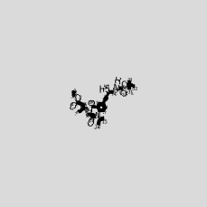 CCOC(=O)CC(C)N1CC(=O)N(C(C)C)c2ccc(C#CC(S)CNC(=O)OC(C)(C)C)cc2C1=O